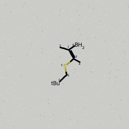 B/C(C)=C(\C)SCC(C)(C)C